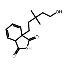 CC(C)(CCO)CCC12C=CC=CC1C(=O)NC2=O